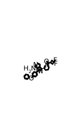 Nc1nccc2c([C@@H]3CCCN(C(=O)C4CC(F)(F)C4)C3)nn(-c3ccc(Oc4ccccc4)cc3)c12